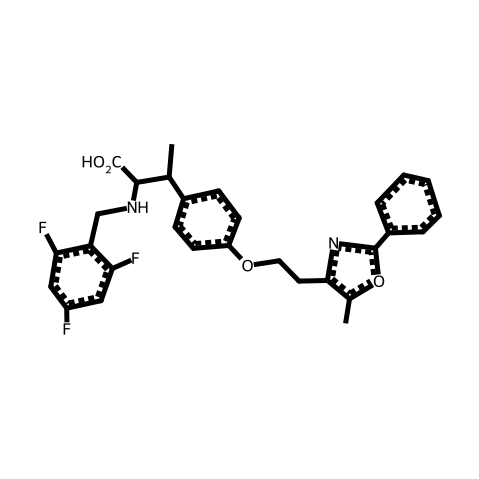 Cc1oc(-c2ccccc2)nc1CCOc1ccc(C(C)C(NCc2c(F)cc(F)cc2F)C(=O)O)cc1